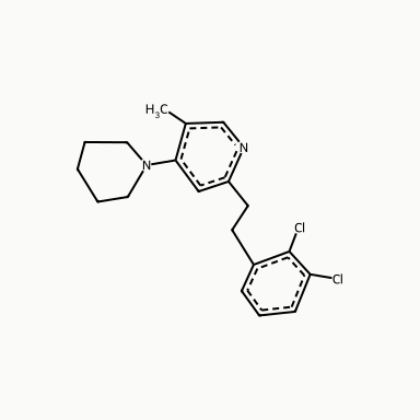 Cc1cnc(CCc2cccc(Cl)c2Cl)cc1N1CCCCC1